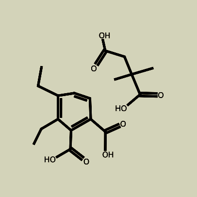 CC(C)(CC(=O)O)C(=O)O.CCc1ccc(C(=O)O)c(C(=O)O)c1CC